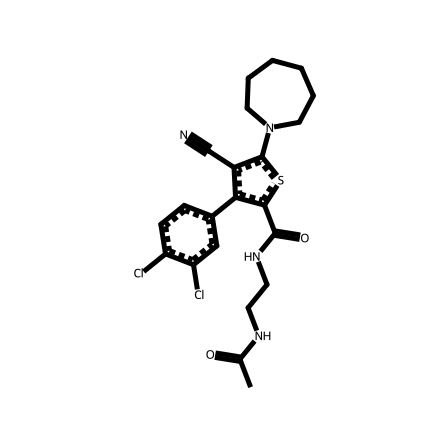 CC(=O)NCCNC(=O)c1sc(N2CCCCCC2)c(C#N)c1-c1ccc(Cl)c(Cl)c1